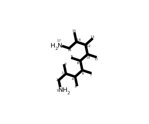 CC(CN)C(C)C(C)C(C)C(C)C(C)C(C)CN